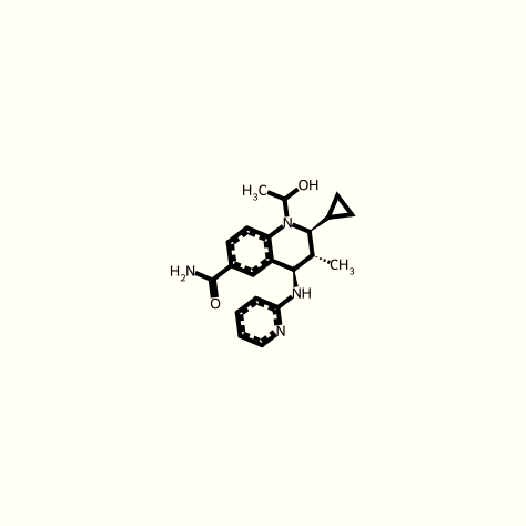 CC(O)N1c2ccc(C(N)=O)cc2[C@H](Nc2ccccn2)[C@@H](C)[C@@H]1C1CC1